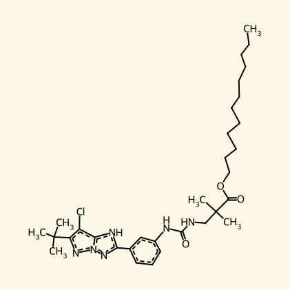 CCCCCCCCCCCCOC(=O)C(C)(C)CNC(=O)Nc1cccc(-c2nn3nc(C(C)(C)C)c(Cl)c3[nH]2)c1